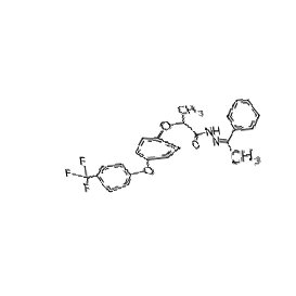 C/C(=N/NC(=O)C(C)Oc1ccc(Oc2ccc(C(F)(F)F)cc2)cc1)c1ccccc1